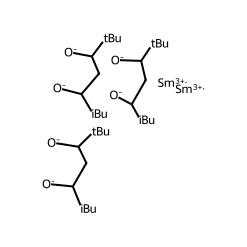 CCC(C)C([O-])CC([O-])C(C)(C)C.CCC(C)C([O-])CC([O-])C(C)(C)C.CCC(C)C([O-])CC([O-])C(C)(C)C.[Sm+3].[Sm+3]